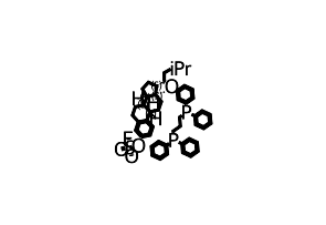 CC(C)CC(=O)[C@H]1CC[C@H]2[C@@H]3CCc4cc(OS(=O)(=O)F)ccc4[C@H]3CC[C@]12C.c1ccc(P(CCCP(c2ccccc2)c2ccccc2)c2ccccc2)cc1